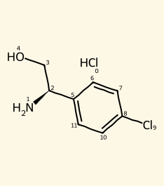 Cl.N[C@@H](CO)c1ccc(Cl)cc1